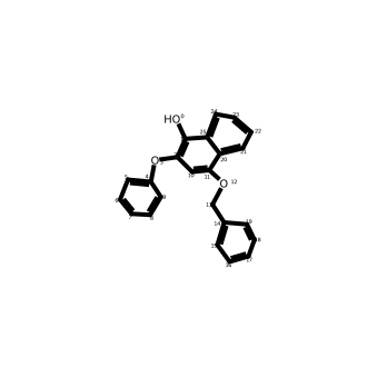 Oc1c(Oc2ccccc2)cc(OCc2ccccc2)c2ccccc12